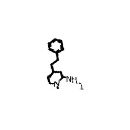 CN1CCC(CCc2ccccc2)CC1N